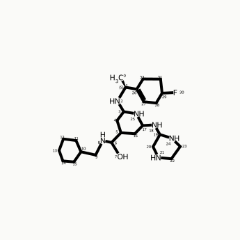 C[C@H](NC1CC(C(O)NCC2CCCCC2)CC(NC2CNCCN2)N1)C1=CCC(F)CC1